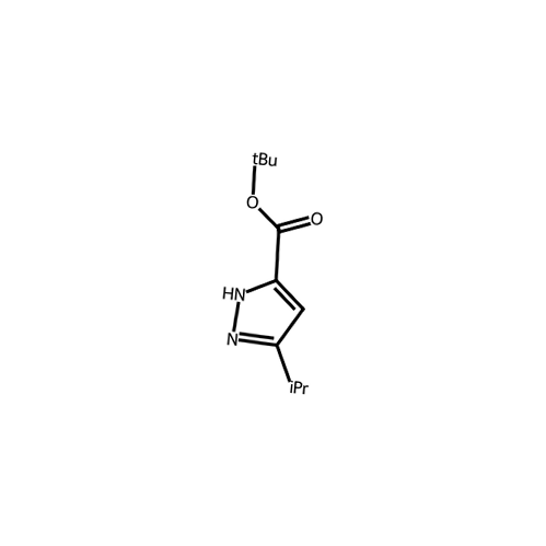 CC(C)c1cc(C(=O)OC(C)(C)C)[nH]n1